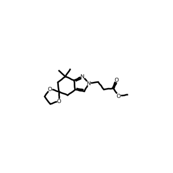 COC(=O)CCn1cc2c(n1)C(C)(C)CC1(C2)OCCO1